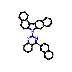 c1ccc2cc(-c3nc(-n4c5cc6ccccc6cc5c5c6ccccc6ccc54)nc4ccccc34)ccc2c1